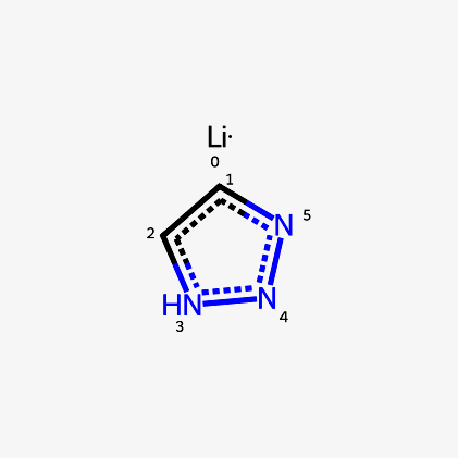 [Li].c1c[nH]nn1